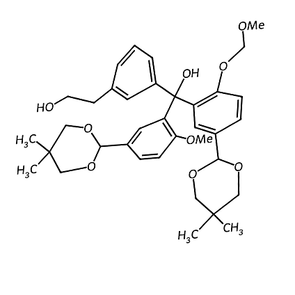 COCOc1ccc(C2OCC(C)(C)CO2)cc1C(O)(c1cccc(CCO)c1)c1cc(C2OCC(C)(C)CO2)ccc1OC